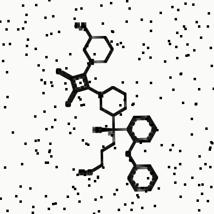 COCCC[C@@](O)(c1ccccc1Oc1ccccc1)C1CCCN(c2c(N3CCCC(N)C3)c(=O)c2=O)C1